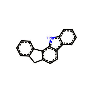 c1ccc2c(c1)Cc1ccc3c([nH]c4ccccc43)c1-2